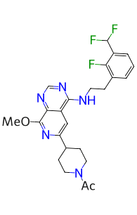 COc1nc(C2CCN(C(C)=O)CC2)cc2c(NCCc3cccc(C(F)F)c3F)ncnc12